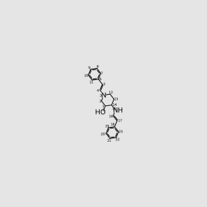 OC1CN(C=Cc2ccccc2)CCC1NC=Cc1ccccc1